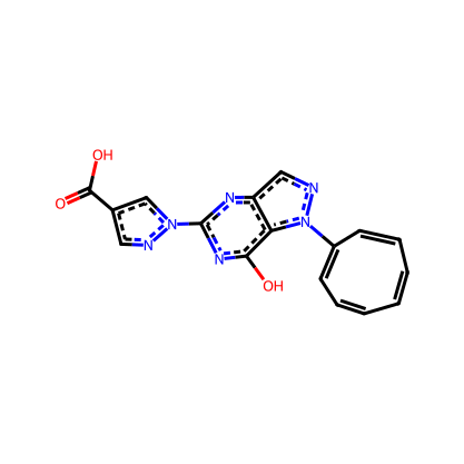 O=C(O)c1cnn(-c2nc(O)c3c(cnn3C3=CC=CC=CC=C3)n2)c1